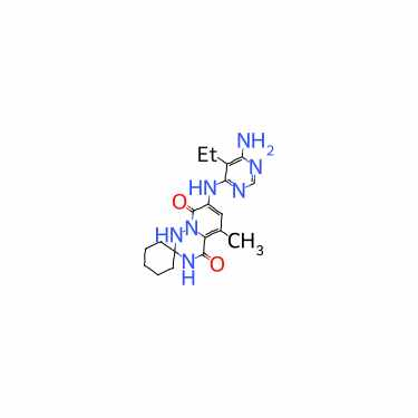 CCc1c(N)ncnc1Nc1cc(C)c2n(c1=O)NC1(CCCCC1)NC2=O